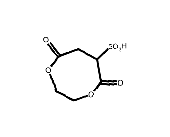 O=C1CC(S(=O)(=O)O)C(=O)OCCO1